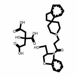 O=C(CCN1CCC2(CCc3ccccc32)CC1)N1c2ccccc2OCC1CO.O=C(O)CC(O)(CC(=O)O)C(=O)O